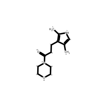 Cc1[c][nH]c(C)c1CCC(=O)N1CCOCC1